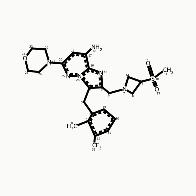 Cc1c(Cc2c(CN3CC(S(C)(=O)=O)C3)nc3c(N)cc(N4CCOCC4)nn23)cccc1C(F)(F)F